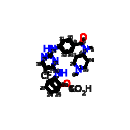 CN1CCC(N(C)C(=O)c2ccc(Nc3ncc(C(F)(F)F)c(NC4C5CCC(CC5)C4OC(=O)O)n3)cc2)CC1